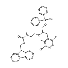 Cc1c(Cl)nnc(Cl)c1CC(CO[Si](c1ccccc1)(c1ccccc1)C(C)(C)C)OCCN(C)C(=O)OCC1c2ccccc2-c2ccccc21